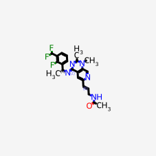 CC(=O)NC/C=C/c1cc2/c(=N/[C@H](C)c3cccc(C(F)F)c3F)nc(C)n(C)c2cn1